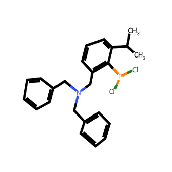 CC(C)c1cccc(CN(Cc2ccccc2)Cc2ccccc2)c1P(Cl)Cl